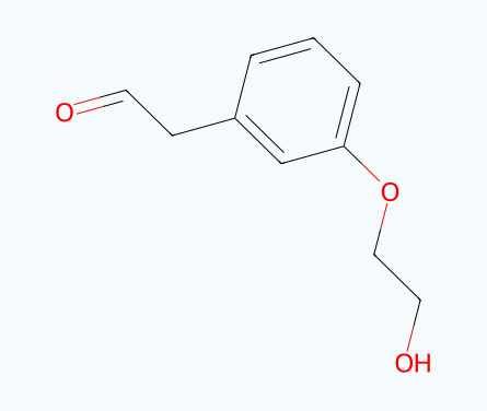 O=CCc1cccc(OCCO)c1